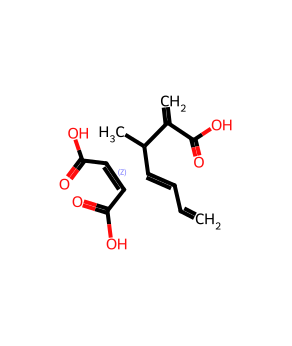 C=CC=CC(C)C(=C)C(=O)O.O=C(O)/C=C\C(=O)O